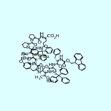 CC[C@H](C)[C@H](NC(=O)[C@H](COC(C)(C)C)NC(=O)[C@H](Cc1ccc(OC(C)(C)C)cc1)NC(=O)[C@@H](NC(=O)[C@H](CSC(c1ccccc1)(c1ccccc1)c1ccccc1)NC(=O)[C@H](Cc1ccccc1)NC(=O)OCC1c2ccccc2-c2ccccc21)[C@@H](C)OC(C)(C)C)C(=O)N1CCC[C@H]1C(=O)N1CCC[C@H]1C(=O)N[C@@H](CCC(=O)NC(c1ccccc1)(c1ccccc1)c1ccccc1)C(=O)O